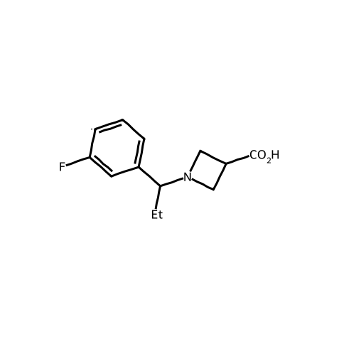 CCC(c1cc[c]c(F)c1)N1CC(C(=O)O)C1